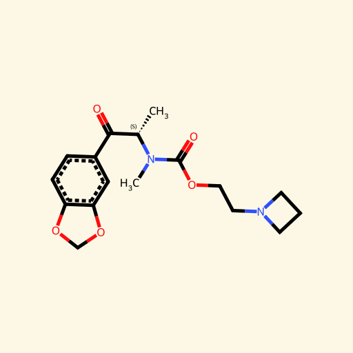 C[C@@H](C(=O)c1ccc2c(c1)OCO2)N(C)C(=O)OCCN1CCC1